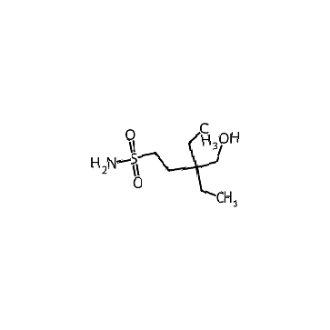 CCC(CC)(CO)CCS(N)(=O)=O